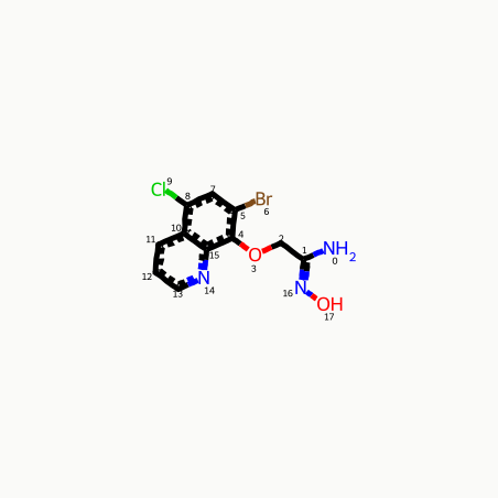 NC(COc1c(Br)cc(Cl)c2cccnc12)=NO